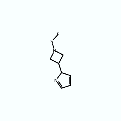 FSN1CC(C2C=CC=N2)C1